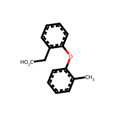 Cc1ccccc1Oc1ccccc1CC(=O)O